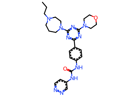 CCCN1CCCN(c2nc(-c3ccc(NC(=O)Nc4ccnnc4)cc3)nc(N3CCOCC3)n2)CC1